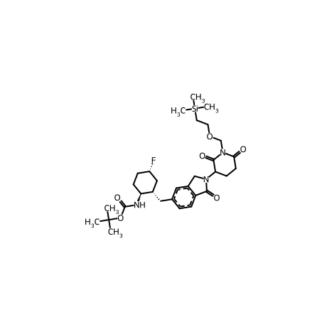 CC(C)(C)OC(=O)N[C@H]1CC[C@H](F)C[C@@H]1Cc1ccc2c(c1)CN(C1CCC(=O)N(COCC[Si](C)(C)C)C1=O)C2=O